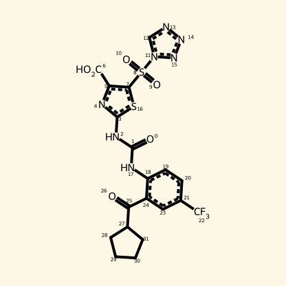 O=C(Nc1nc(C(=O)O)c(S(=O)(=O)n2cnnn2)s1)Nc1ccc(C(F)(F)F)cc1C(=O)C1CCCC1